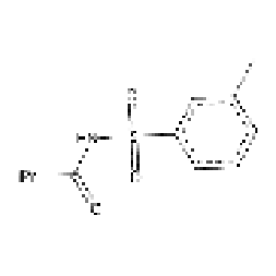 Cc1cccc(S(=O)(=O)NC(=O)C(C)C)c1